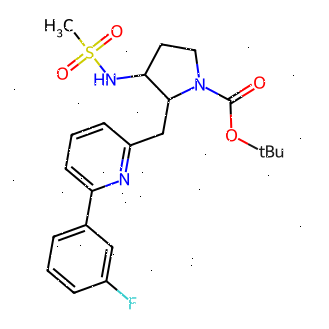 CC(C)(C)OC(=O)N1CCC(NS(C)(=O)=O)C1Cc1cccc(-c2cccc(F)c2)n1